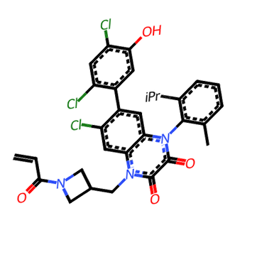 C=CC(=O)N1CC(Cn2c(=O)c(=O)n(-c3c(C)cccc3C(C)C)c3cc(-c4cc(O)c(Cl)cc4Cl)c(Cl)cc32)C1